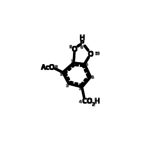 CC(=O)Oc1cc(C(=O)O)cc2c1OPO2